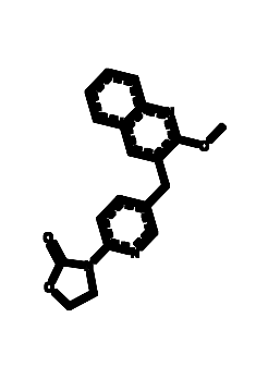 COc1nc2ccccc2cc1Cc1ccc(N2CCOC2=O)nc1